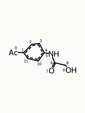 CC(=O)c1ccc(NC(=O)CO)cc1